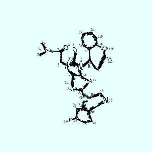 CN(C)C(=O)Cn1c(=O)n(C2CCOc3ccccc32)c2nc(-n3cnc4ccc(F)cc43)ncc21